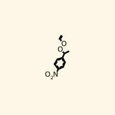 C=COOC(C)c1ccc([N+](=O)[O-])cc1